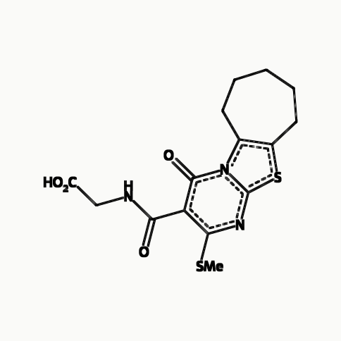 CSc1nc2sc3c(n2c(=O)c1C(=O)NCC(=O)O)CCCCC3